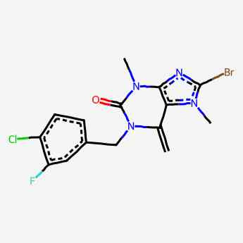 C=C1c2c(nc(Br)n2C)N(C)C(=O)N1Cc1ccc(Cl)c(F)c1